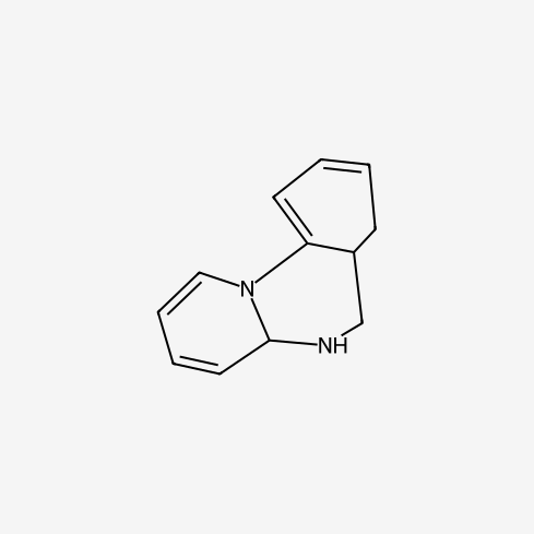 C1=CCC2CNC3C=CC=CN3C2=C1